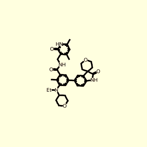 CCN(c1cc(-c2ccc3c(c2)C2(CCOCC2)C(=O)N3)cc(C(=O)NCc2c(C)cc(C)[nH]c2=O)c1C)C1CCOCC1